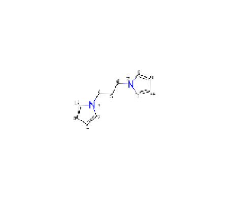 c1ccn(CCCn2cccc2)c1